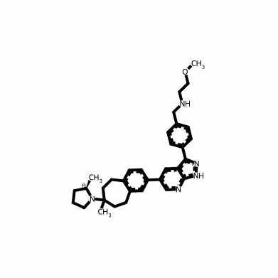 COCCNCc1ccc(-c2n[nH]c3ncc(-c4ccc5c(c4)CCC(C)(N4CCC[C@H]4C)CC5)cc23)cc1